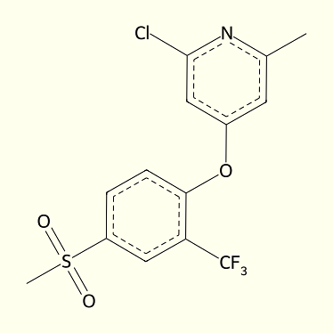 Cc1cc(Oc2ccc(S(C)(=O)=O)cc2C(F)(F)F)cc(Cl)n1